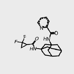 O=C(NC12CC3CC(C1)CC(NC(=O)C1CC1(F)F)(C3)C2)c1ccccn1